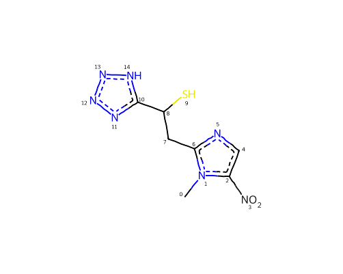 Cn1c([N+](=O)[O-])cnc1CC(S)c1nnn[nH]1